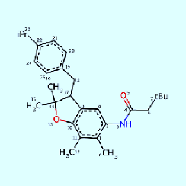 Cc1c(NC(=O)CC(C)(C)C)cc2c(c1C)OC(C)(C)C2Cc1ccc(C(C)C)cc1